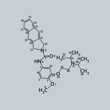 COc1ccc(NC(=O)N2Cc3cc4ccccc4cc3C2)cc1OCCN(C(C)C)C(C)C